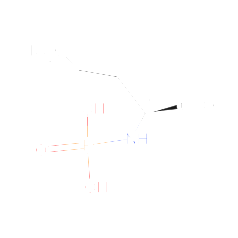 O=C[C@H](CCC(=O)O)NP(=O)(O)O